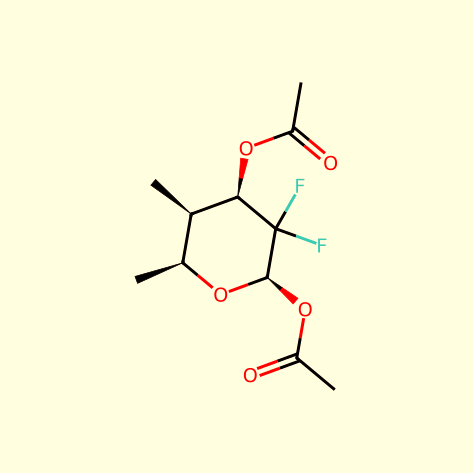 CC(=O)O[C@H]1O[C@@H](C)[C@@H](C)[C@@H](OC(C)=O)C1(F)F